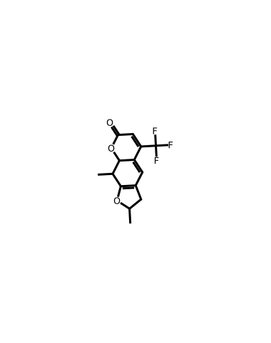 CC1CC2=C(O1)C(C)C1OC(=O)C=C(C(F)(F)F)C1=C2